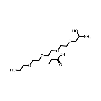 CCC(=O)O.NC(O)COCCOCCOCCOCCO